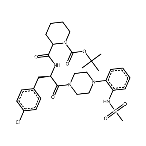 CC(C)(C)OC(=O)N1CCCCC1C(=O)N[C@H](Cc1ccc(Cl)cc1)C(=O)N1CCN(c2ccccc2NS(C)(=O)=O)CC1